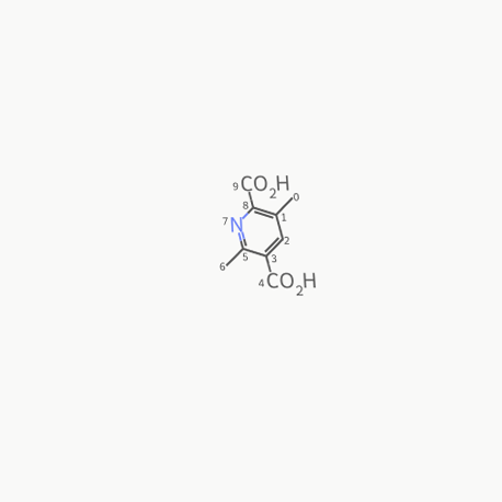 Cc1cc(C(=O)O)c(C)nc1C(=O)O